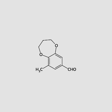 Cc1cc(C=O)cc2c1OCCCO2